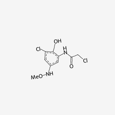 CONc1cc(Cl)c(O)c(NC(=O)CCl)c1